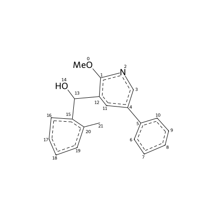 COc1ncc(-c2ccccc2)cc1C(O)c1ccccc1C